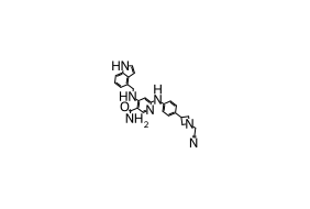 N#CCN1CC(c2ccc(Nc3cc(NCc4cccc5[nH]ccc45)c(C(N)=O)cn3)cc2)C1